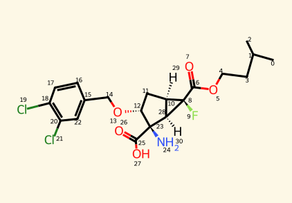 CC(C)CCOC(=O)[C@@]1(F)[C@@H]2C[C@@H](OCc3ccc(Cl)c(Cl)c3)[C@@](N)(C(=O)O)[C@@H]21